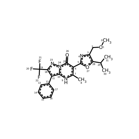 COCc1nc(-c2c(C)[nH]c3c(-c4ccccc4)c(C(F)(F)F)nn3c2=O)oc1C(C)C